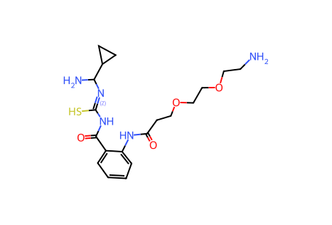 NCCOCCOCCC(=O)Nc1ccccc1C(=O)N/C(S)=N/C(N)C1CC1